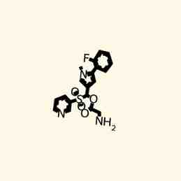 Cn1cc(C(OC(=O)CN)S(=O)(=O)c2cccnc2)cc1-c1ccccc1F